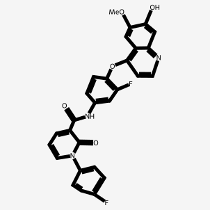 COc1cc2c(Oc3ccc(NC(=O)c4cccn(-c5ccc(F)cc5)c4=O)cc3F)ccnc2cc1O